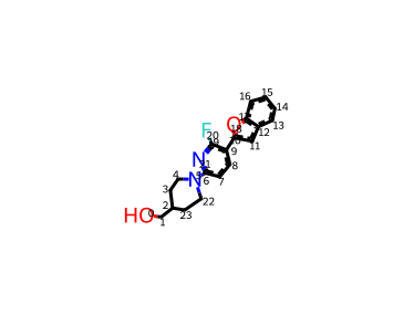 OCC1CCN(c2ccc(-c3cc4ccccc4o3)c(F)n2)CC1